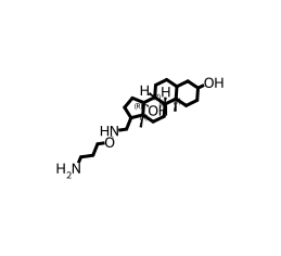 C[C@]12CCC(O)CC1CC[C@@H]1[C@H]2CC[C@]2(C)C(CNOCCCN)CC[C@@]12O